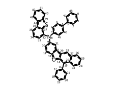 c1ccc(-c2ccc(N(c3ccc4oc5c(-c6ccccc6)c6ccccc6cc5c4c3)c3cccc4c3sc3ccccc34)cc2)cc1